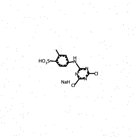 Cc1cc(Nc2nc(Cl)nc(Cl)n2)ccc1S(=O)(=O)O.[NaH]